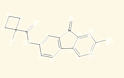 O=C1c2cc(NC(=O)C3(F)CCC3)ccc2-c2cnc(C(F)(F)F)nc21